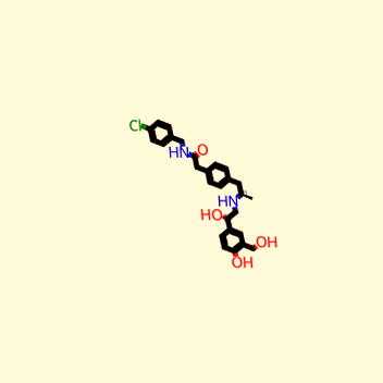 C[C@H](Cc1ccc(CC(=O)NCc2ccc(Cl)cc2)cc1)NC[C@H](O)c1ccc(O)c(CO)c1